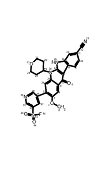 COc1cc2c(=O)c3c4ccc(C#N)cc4[nH]c3n(C3CCOCC3)c2cc1-c1cncc(S(=O)(=O)F)c1